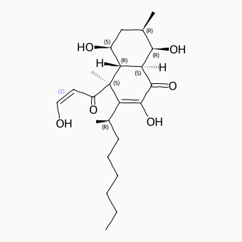 CCCCCC[C@@H](C)C1=C(O)C(=O)[C@@H]2[C@H](O)[C@H](C)C[C@H](O)[C@H]2[C@]1(C)C(=O)/C=C\O